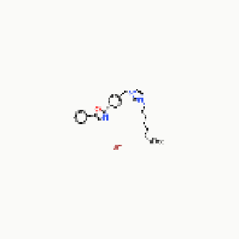 CCCCCCCCCCCCCCCC[n+]1ccn(Cc2ccc(-c3ncc(-c4ccccc4)o3)cc2)c1.[Br-]